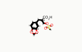 CS(=O)(=O)OC[C@@H](Cc1ccc2c(c1)OCO2)C(=O)O